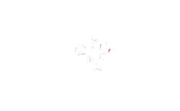 COc1cccc(-c2ccc3c(c2)C2(COC(N(C(=O)O)C(=O)O)=N2)C2(COC2)CO3)n1